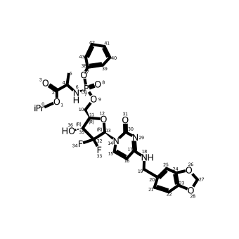 CC(C)OC(=O)C(C)N[P@](=O)(OC[C@H]1O[C@@H](n2ccc(NCc3ccc4c(c3)OCO4)nc2=O)C(F)(F)[C@@H]1O)Oc1ccccc1